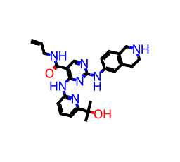 C=CCNC(=O)c1cnc(Nc2ccc3c(c2)CCNC3)nc1Nc1cccc(C(C)(C)O)n1